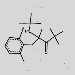 CC(C)(C)NC(C)(Cc1c(F)cccc1F)C(=O)C(C)(C)C